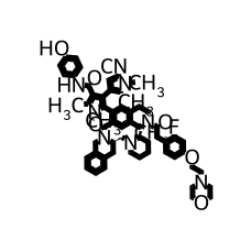 Cc1c(-c2c(C(=O)Nc3ccc(O)cc3)c(C)n(C)c2-c2cc3c(cc2C(=O)N2Cc4ccccc4C[C@H]2CN2CCCC[C@@H]2C)CN(C(=O)Cc2ccc(OCCN4CCOCC4)cc2F)CC3)cc(C#N)n1C